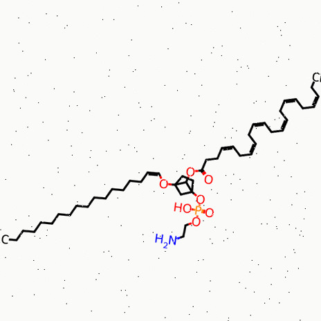 CC/C=C\C/C=C\C/C=C\C/C=C\C/C=C\C/C=C\CCC(=O)OC1C2(O/C=C\CCCCCCCCCCCCCCCC)CCC1(OP(=O)(O)OCCN)C2